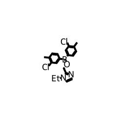 CCn1ccnc1COB(c1ccc(C)c(Cl)c1)c1ccc(C)c(Cl)c1